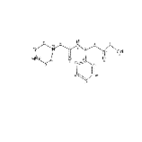 O=C(CO)CC(NC(=O)CN1CCNCC1)c1ccccc1